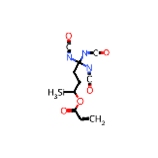 C=CC(=O)OC([SiH3])CCC(N=C=O)(N=C=O)N=C=O